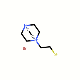 SCC[N+]12CCN(CC1)CC2.[Br-]